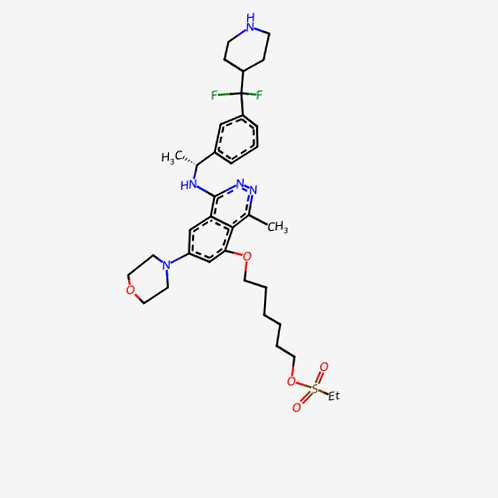 CCS(=O)(=O)OCCCCCCOc1cc(N2CCOCC2)cc2c(N[C@H](C)c3cccc(C(F)(F)C4CCNCC4)c3)nnc(C)c12